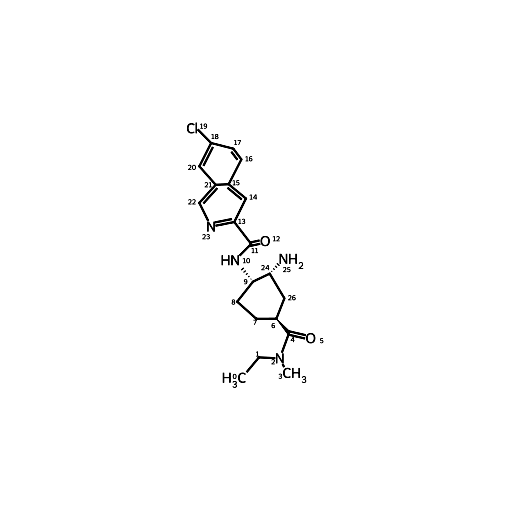 CCN(C)C(=O)[C@H]1CC[C@H](NC(=O)c2cc3ccc(Cl)cc3cn2)[C@H](N)C1